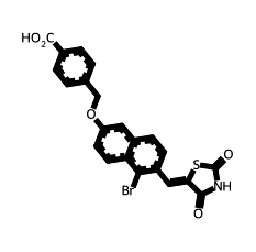 O=C1NC(=O)/C(=C/c2ccc3cc(OCc4ccc(C(=O)O)cc4)ccc3c2Br)S1